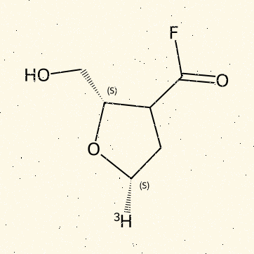 [3H][C@H]1CC(C(=O)F)[C@@H](CO)O1